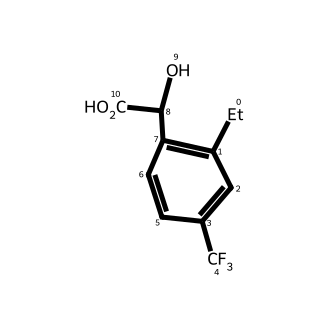 CCc1cc(C(F)(F)F)ccc1C(O)C(=O)O